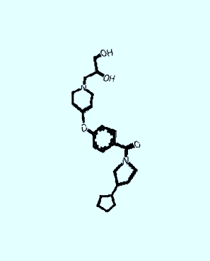 O=C(c1ccc(OC2CCN(CC(O)CO)CC2)cc1)N1CCC(C2CCCC2)C1